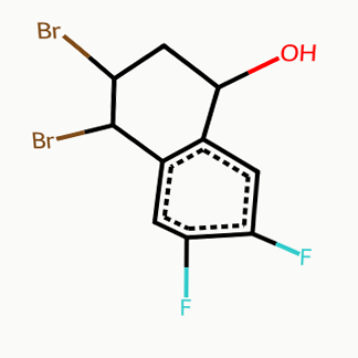 OC1CC(Br)C(Br)c2cc(F)c(F)cc21